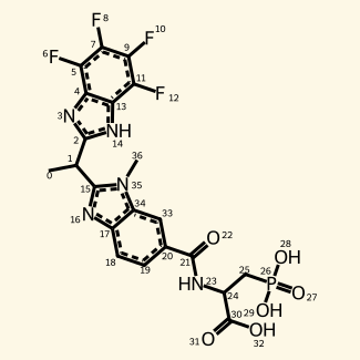 CC(c1nc2c(F)c(F)c(F)c(F)c2[nH]1)c1nc2ccc(C(=O)NC(CP(=O)(O)O)C(=O)O)cc2n1C